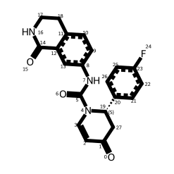 O=C1C=CN(C(=O)Nc2ccc3c(c2)C(=O)NCC3)[C@H](c2ccc(F)cc2)C1